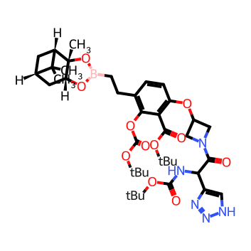 CC(C)(C)OC(=O)NC(C(=O)N1CC(Oc2ccc(CCB3O[C@@H]4C[C@@H]5C[C@@H](C5(C)C)[C@]4(C)O3)c(OC(=O)OC(C)(C)C)c2C(=O)OC(C)(C)C)C1)c1c[nH]nn1